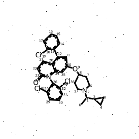 CC(C1CC1)N1CCC(Oc2cc(-c3ccccc3Cl)c3ccc(=O)n(-c4c(Cl)cccc4Cl)c3c2)CC1